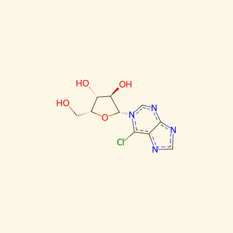 OC[C@H]1O[C@@H](n2cnc3ncnc-3c2Cl)[C@H](O)[C@H]1O